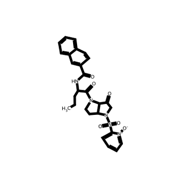 CCCC(NC(=O)c1ccc2ccccc2c1)C(=O)N1CCC2C1C(=O)CN2S(=O)(=O)c1cccc[n+]1[O-]